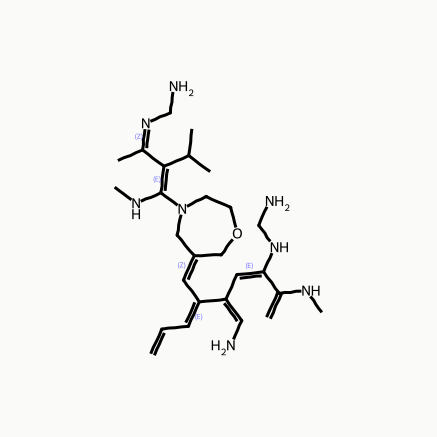 C=C/C=C(\C=C1/COCCN(/C(NC)=C(/C(C)=N\CN)C(C)C)C1)C(=CN)/C=C(/NCN)C(=C)NC